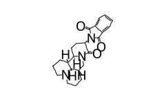 O=C1[C@H](N2C(=O)c3ccccc3C2=O)CC[C@@H]2[C@H]3CCCN4CCC[C@@H](CN12)[C@@H]34